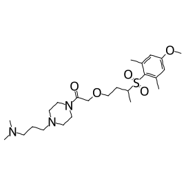 COc1cc(C)c(S(=O)(=O)C(C)CCOCC(=O)N2CCN(CCCN(C)C)CC2)c(C)c1